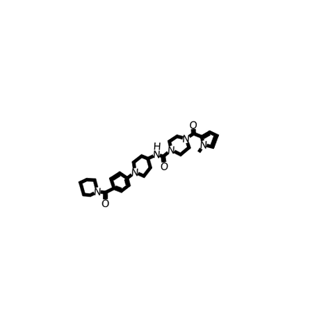 Cn1cccc1C(=O)N1CCN(C(=O)NC2CCN(c3ccc(C(=O)N4CCCCC4)cc3)CC2)CC1